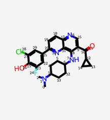 CN(C)C1CCC(Nc2c(C(=O)C3CC3)cnc3ccc(-c4cc(F)c(O)c(Cl)c4)nc23)CC1